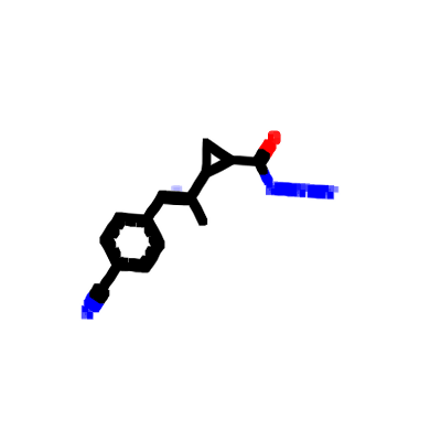 C/C(=C\c1ccc(C#N)cc1)C1CC1C(=O)N=[N+]=[N-]